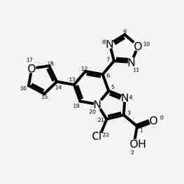 O=C(O)c1nc2c(-c3ncon3)cc(-c3ccoc3)cn2c1Cl